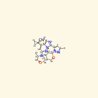 Cc1cc(-c2nc(I)c3c(C4(C#N)CC4)cc(N4CCOCC4C)nn23)n(C2CCCCO2)n1